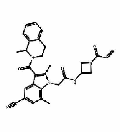 C=CC(=O)N1CC(NC(=O)Cn2c(C)c(C(=O)N3CCc4ccccc4C3C)c3cc(C#N)cc(C)c32)C1